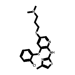 Cc1csc(Nc2ncc(SCCCN(C)C)cc2Sc2ccccc2Cl)n1